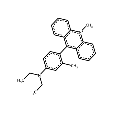 CCN(CC)c1ccc(-c2c3ccccc3[n+](C)c3ccccc23)c(C)c1